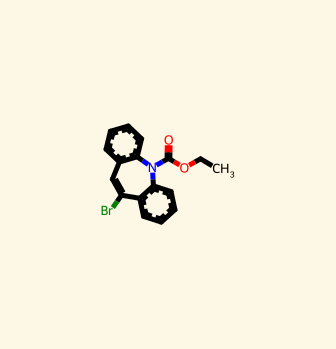 CCOC(=O)N1c2ccccc2C=C(Br)c2ccccc21